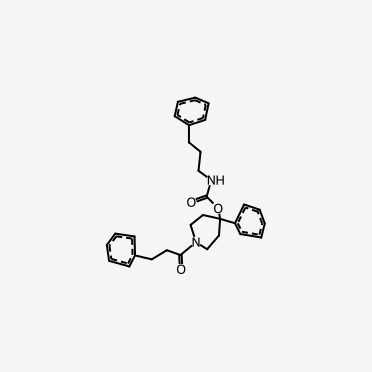 O=C(NCCCc1ccccc1)OC1(c2ccccc2)CCN(C(=O)CCc2ccccc2)CC1